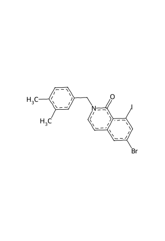 Cc1ccc(Cn2ccc3cc(Br)cc(I)c3c2=O)cc1C